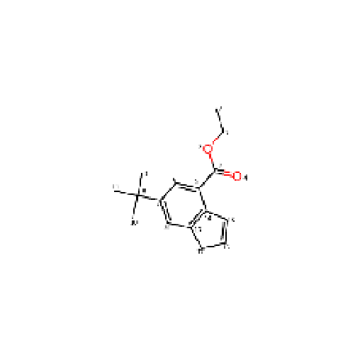 CCOC(=O)c1cc(C(C)(C)C)cc2c1C=CC2